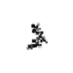 C.O=S(=O)([O-])F.O=S(=O)([O-])F.O=S(=O)([O-])F.[Na+].[Na+].[Na+]